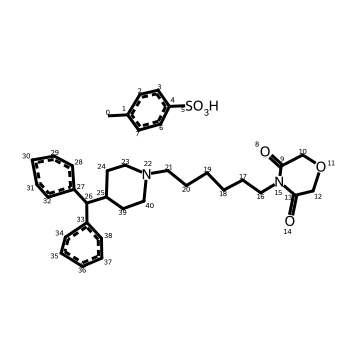 Cc1ccc(S(=O)(=O)O)cc1.O=C1COCC(=O)N1CCCCCCN1CCC(C(c2ccccc2)c2ccccc2)CC1